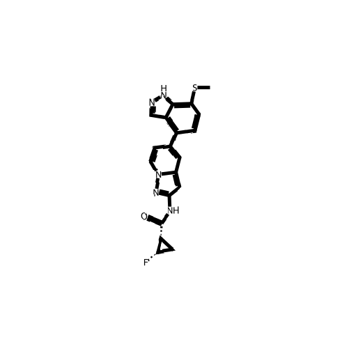 CSc1ccc(-c2ccn3nc(NC(=O)[C@@H]4C[C@@H]4F)cc3c2)c2cn[nH]c12